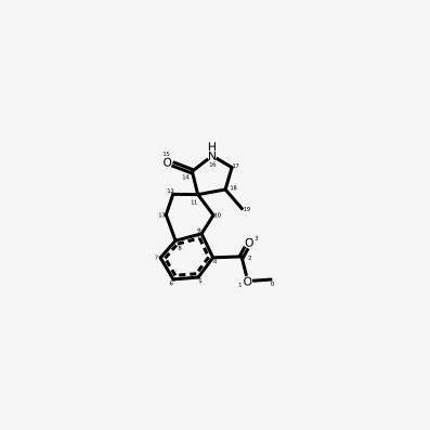 COC(=O)c1cccc2c1CC1(CC2)C(=O)NCC1C